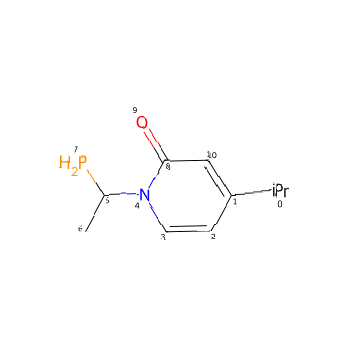 CC(C)c1ccn(C(C)P)c(=O)c1